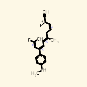 C#C[C@H](F)/C=C\C/C(C)=C/C=C(\C=C(/C)F)c1ccc(PC)cc1